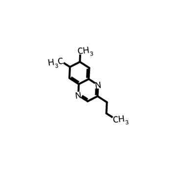 CCCc1cnc2c(n1)=CC(C)C(C)C=2